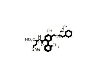 CSCC[C@H](NC(=O)c1ccc(CO[C@H](COC(C)C)CC2CCCCC2)cc1-c1ccccc1C)C(=O)O.[LiH]